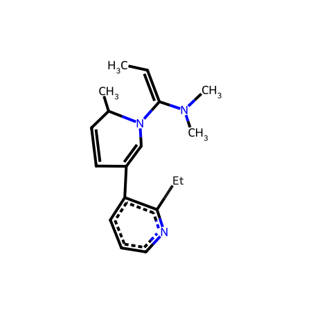 C/C=C(/N(C)C)N1C=C(c2cccnc2CC)C=CC1C